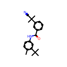 Cc1ccc(NC(=O)c2cccc(C(C)(C)C#N)c2)cc1C(C)(C)C